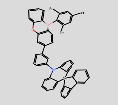 CC(C)c1cc(C(C)C)c(B2c3ccccc3Oc3cc(-c4cccc(N5c6ccccc6[Si]6(c7ccccc7-c7ccccc76)c6ccccc65)c4)ccc32)c(C(C)C)c1